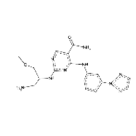 COCC(CN)Nc1ncc(C(N)=O)c(Nc2cccc(-n3nccn3)c2)n1